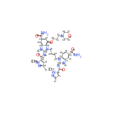 CCn1nc(C)cc1C(=O)/N=c1\n(C)c2cc(C(N)=O)ccc2n1C/C=C/Cn1/c(=N/C(=O)c2cc(C)nn2CC)n(C)c2cc(C(N)=O)cc(OCCCN3CCOCC3)c21